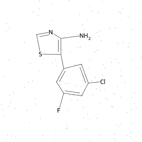 Nc1ncsc1-c1cc(F)cc(Cl)c1